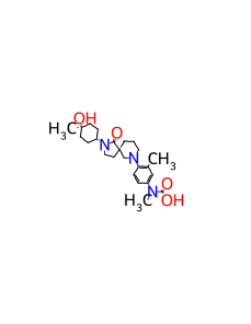 Cc1cc(N(C)C(=O)O)ccc1N1CCC[C@]2(CCN([C@H]3CC[C@](C)(O)CC3)C2=O)C1